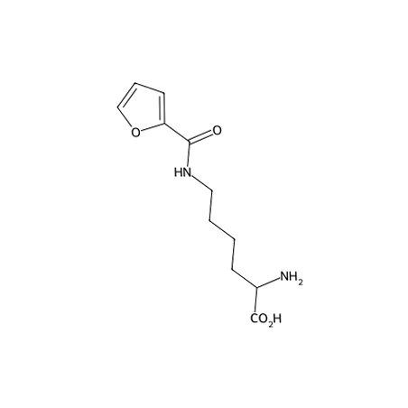 NC(CCCCNC(=O)c1ccco1)C(=O)O